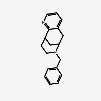 c1ccc(CN2CCC3CC2Cc2cccnc23)cc1